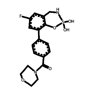 O=C(c1ccc(-c2cc(F)cc3c2OS(O)(O)NC3)cc1)N1CCOCC1